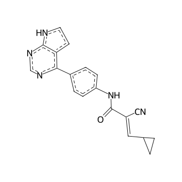 N#C/C(=C\C1CC1)C(=O)Nc1ccc(-c2ncnc3[nH]ccc23)cc1